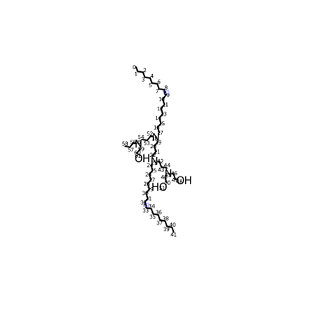 CCCCCCCC/C=C\CCCCCCCCN(CCCCN(CCCCCCCC/C=C\CCCCCCCC)CCCN(CCO)CCO)CCCN(CCC)CCO